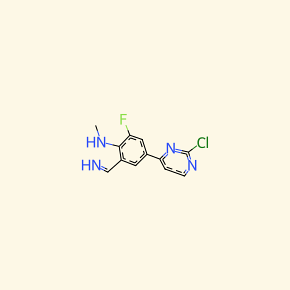 CNc1c(F)cc(-c2ccnc(Cl)n2)cc1C=N